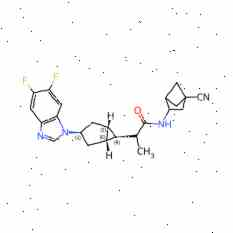 CC(C(=O)NC1CC2(C#N)CC1C2)[C@H]1[C@@H]2C[C@@H](n3cnc4cc(F)c(F)cc43)C[C@@H]21